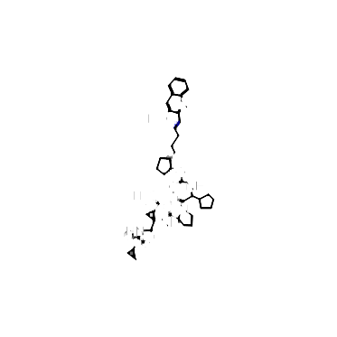 C=C[C@@H]1C[C@]1(NC(=O)[C@@H]1CCCN1C(=O)C(NC(=O)O[C@@H]1CCC[C@H]1CCC/C=C/c1nc2ccccc2cc1O)C1CCCC1)C(=O)NS(=O)(=O)C1CC1